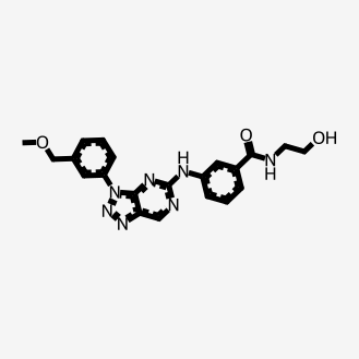 COCc1cccc(-n2nnc3cnc(Nc4cccc(C(=O)NCCO)c4)nc32)c1